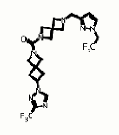 O=C(N1CC2(CC(n3cnc(C(F)(F)F)n3)C2)C1)N1CC2(CN(Cc3ccn(CC(F)(F)F)n3)C2)C1